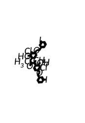 CC(C(=O)C(C)c1ccc(OCc2cccc(I)c2)c(Cl)c1O)c1ccc(OCc2cccc(I)c2)c(Cl)c1O